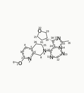 COc1ccc2c(n1)CN(c1ncnn3c(C)nc([C@@H]4CCOC4)c13)CC2